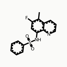 Cc1c(F)cc(NS(=O)(=O)c2ccccc2)c2ncccc12